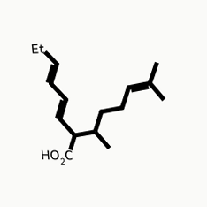 CC/C=C/C=C/C(C(=O)O)C(C)CCC=C(C)C